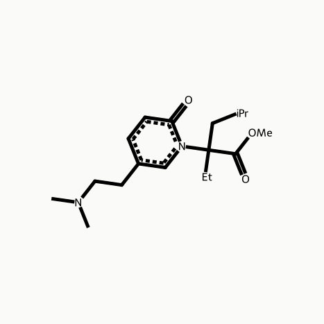 CCC(CC(C)C)(C(=O)OC)n1cc(CCN(C)C)ccc1=O